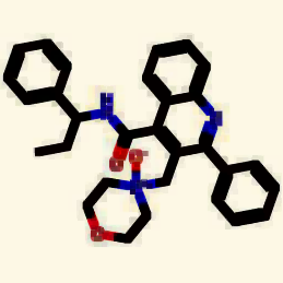 CCC(NC(=O)c1c(C[N+]2([O-])CCOCC2)c(-c2ccccc2)nc2ccccc12)c1ccccc1